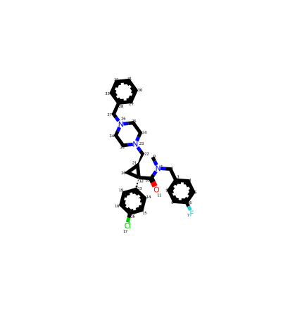 CN(Cc1ccc(F)cc1)C(=O)[C@@]1(c2ccc(Cl)cc2)C[C@H]1CN1CCN(Cc2ccccc2)CC1